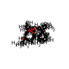 CNC(CC(C)C)C(=O)NC1C(=O)NC(CC(N)=O)C(=O)NC2C(=O)NC3C(=O)NC(C(=O)NC([C](=O)[Re])c4cc(O)cc(O)c4-c4cc3ccc4O)C(OC3CC(C)(N)C(O)C(C)O3)c3ccc(cc3)Oc3cc2cc(c3OC2OC(CO)C(O)C(O)C2OC2CC(C)(C)C(O)C(C)O2)Oc2ccc(cc2Cl)C1O